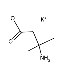 CC(C)(N)CC(=O)[O-].[K+]